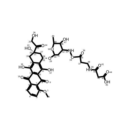 COc1cccc2c1C(=O)c1c(O)c3c(c(O)c1C2=O)C[C@@](O)(C(=O)CO)C[C@@H]3OC1CC(NOC(=O)CCNC(=O)CC(=O)O)C(O)C(C)O1